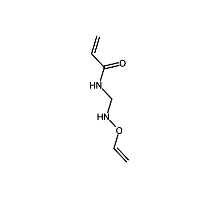 C=CONCNC(=O)C=C